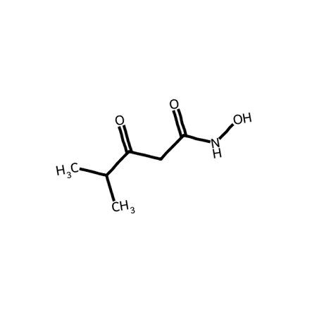 CC(C)C(=O)CC(=O)NO